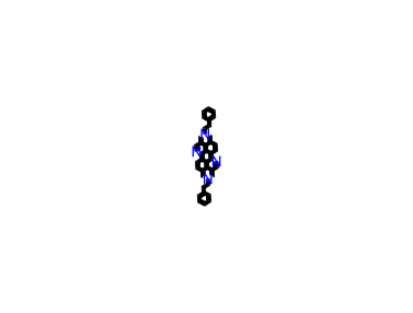 C1=c2ccc3c4ncc5c6c(ccc(c7ncc(c2c37)=CN1CCc1ccccc1)c64)=CN(CCc1ccccc1)C=5